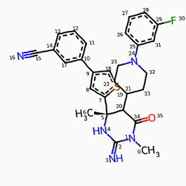 CN1C(=N)N[C@](C)(c2cc(-c3cccc(C#N)c3)cs2)C(C2CCN(c3cccc(F)c3)CC2)C1=O